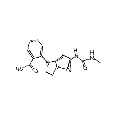 CNC(=O)Nc1cc2n(n1)CCN2c1ccccc1C(=O)O